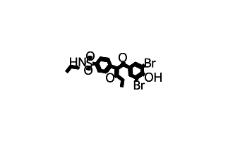 CCCNS(=O)(=O)c1ccc2c(C(=O)c3cc(Br)c(O)c(Br)c3)c(CC)oc2c1